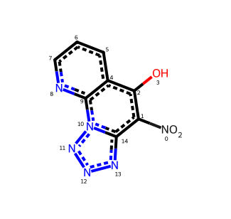 O=[N+]([O-])c1c(O)c2cccnc2n2nnnc12